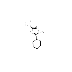 Cn1nc(Br)nc1C1CCCCC1